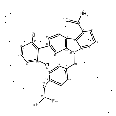 NC(=O)c1cccc2c1c1[c]cc(-c3c(Cl)cccc3Cl)cc1n2Cc1ccc(OC(F)F)cc1